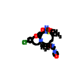 CO[C@]1(CN2CC(N3CCOCC3)C2)/C=C/C[C@H](C)[C@@H](C)S(=O)(=O)NC(=O)c2ccc3c(c2)N(CCCCc2cc(Cl)ccc2CO3)C[C@@H]2CC[C@H]21